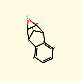 c1ccc2c(c1)C1CC2C2OC12